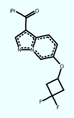 CC(C)C(=O)c1cnn2cc(OC3CC(F)(F)C3)ccc12